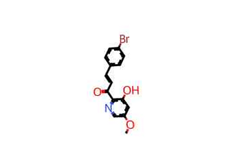 COc1cnc(C(=O)C=Cc2ccc(Br)cc2)c(O)c1